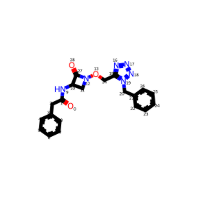 O=C(Cc1ccccc1)NC1CN(OCc2nnnn2Cc2ccccc2)C1=O